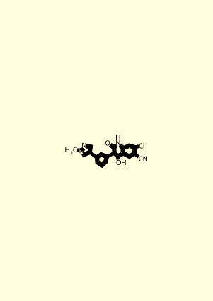 Cn1cc(-c2cccc(-c3c(O)c4cc(C#N)c(Cl)cc4[nH]c3=O)c2)cn1